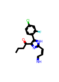 CCCC(=O)c1nc(/C=C\C=N)[nH]c1-c1ccc(Cl)cc1F